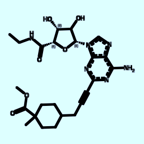 CCNC(=O)[C@H]1O[C@@H](n2cnc3c(N)nc(C#CCC4CCC(C)(C(=O)OC)CC4)nc32)C(O)[C@H]1O